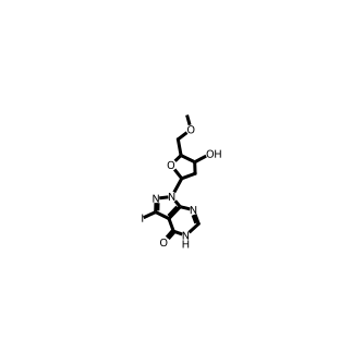 COCC1OC(n2nc(I)c3c(=O)[nH]cnc32)CC1O